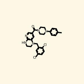 Cc1ccc(N2CCN(C(=O)c3cnc4c(c3)N(Cc3cc(Cl)ccc3Cl)CCN4)CC2)cc1